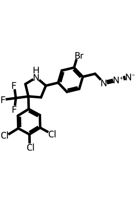 [N-]=[N+]=NCc1ccc(C2CC(c3cc(Cl)c(Cl)c(Cl)c3)(C(F)(F)F)CN2)cc1Br